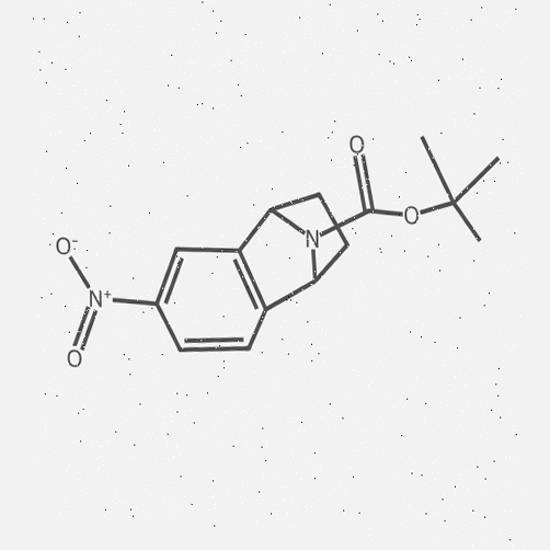 CC(C)(C)OC(=O)N1C2CCC1c1cc([N+](=O)[O-])ccc12